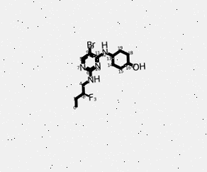 CC[C@H](F)CNc1ncc(Br)c(NC2CCC(O)CC2)n1